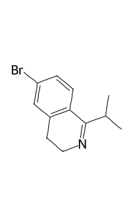 CC(C)C1=NCCc2cc(Br)ccc21